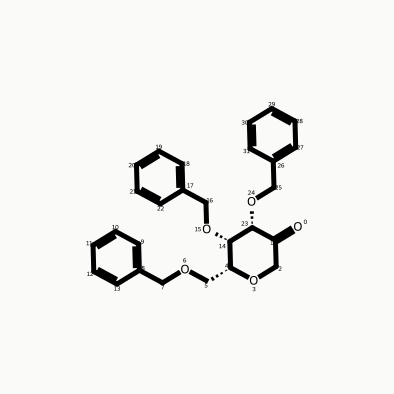 O=C1CO[C@H](COCc2ccccc2)[C@H](OCc2ccccc2)[C@@H]1OCc1ccccc1